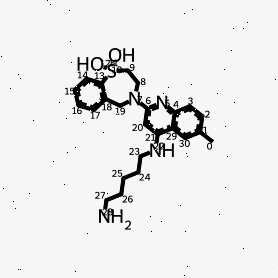 Cc1ccc2nc(N3CCS(O)(O)c4ccccc4C3)cc(NCCCCCN)c2c1